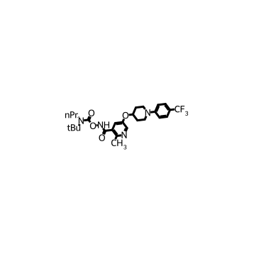 CCCN(C(=O)ONC(=O)c1cc(OC2CCN(c3ccc(C(F)(F)F)cc3)CC2)cnc1C)C(C)(C)C